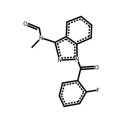 CN(C=O)c1nn(C(=O)c2ccccc2F)c2ccccc12